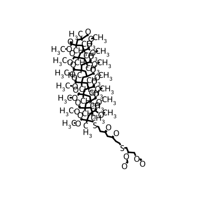 COC(=O)C(C)(C)CC(C)(CC(C)(CC(C)(CC(C)(CC(C)(CC(C)(CC(C)(CC(C)(CC(C)(CC(C)(CC(C)(CC(C)(CC(C)(CSCCC(=O)CC(=O)CCSCC(COC=O)OC=O)C(=O)OC)C(=O)OC)C(=O)OC)C(=O)OC)C(=O)OC)C(=O)OC)C(=O)OC)C(=O)OC)C(=O)OC)C(=O)OC)C(=O)OC)C(=O)OC)C(=O)OC